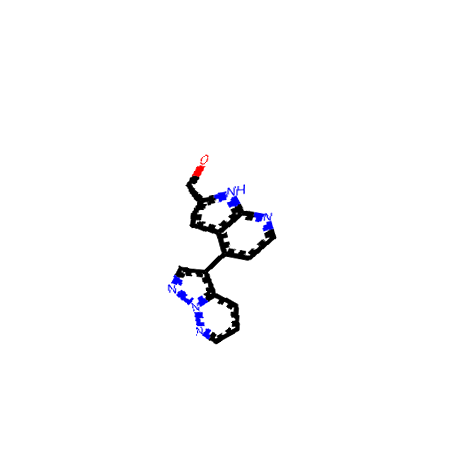 O=Cc1cc2c(-c3cnn4ncccc34)ccnc2[nH]1